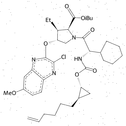 C=CCCCC[C@@H]1C[C@H]1OC(=O)N[C@H](C(=O)N1C[C@H](Oc2nc3cc(OC)ccc3nc2Cl)[C@@H](CC)[C@H]1C(=O)OCC(C)C)C1CCCCC1